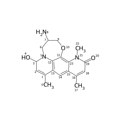 CC1=CC(O)N2CC(N)COc3c2c1cc1c(C)cc(=O)n(C)c31